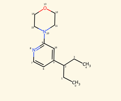 CCC(CC)c1ccnc(N2CCOCC2)c1